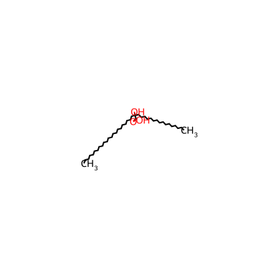 CCCCCCCCCCCCCCCCCCCCCCC(O)(CCCCCCCCCCCCCCCC)C(=O)O